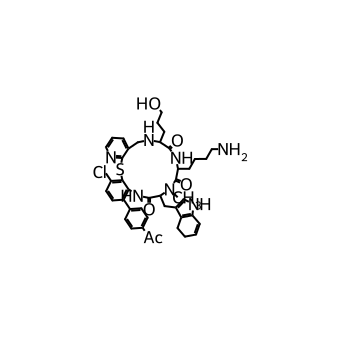 CC(=O)c1ccc(-c2ccc(Cl)c3c2NC(=O)C(Cc2c[nH]c4c2CCC=C4)N(C)C(=O)C(CCCCN)NC(=O)C(CCCO)NCc2cccnc2S3)cc1